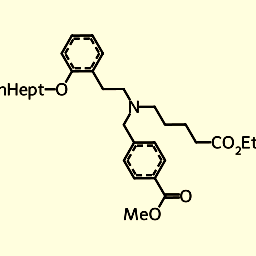 CCCCCCCOc1ccccc1CCN(CCCCC(=O)OCC)Cc1ccc(C(=O)OC)cc1